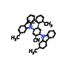 Cc1ccc2c3ccccc3n(-c3cc(-c4c(C)cccc4C(F)(F)F)c(-n4c5ccccc5c5ccc(C)cc54)cc3C#N)c2c1